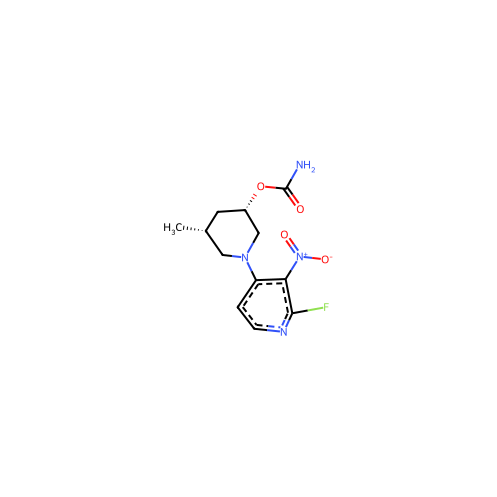 C[C@@H]1C[C@H](OC(N)=O)CN(c2ccnc(F)c2[N+](=O)[O-])C1